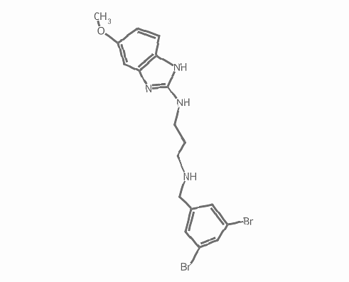 COc1ccc2[nH]c(NCCCNCc3cc(Br)cc(Br)c3)nc2c1